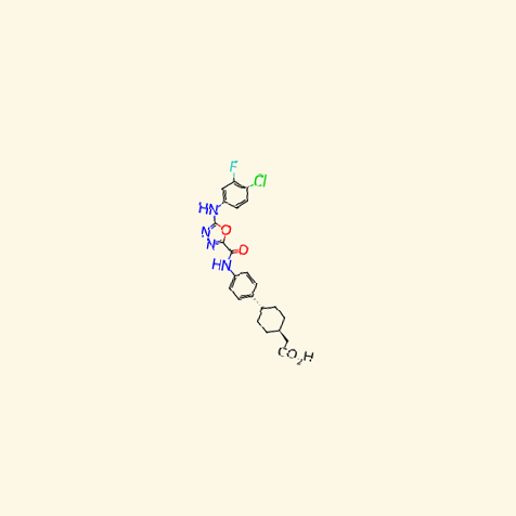 O=C(O)C[C@H]1CC[C@H](c2ccc(NC(=O)c3nnc(Nc4ccc(Cl)c(F)c4)o3)cc2)CC1